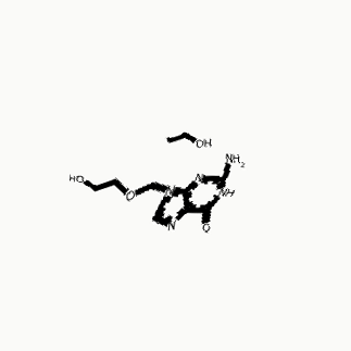 CCO.Nc1nc2c(ncn2COCCO)c(=O)[nH]1